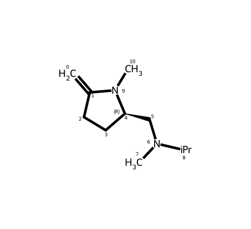 C=C1CC[C@H](CN(C)C(C)C)N1C